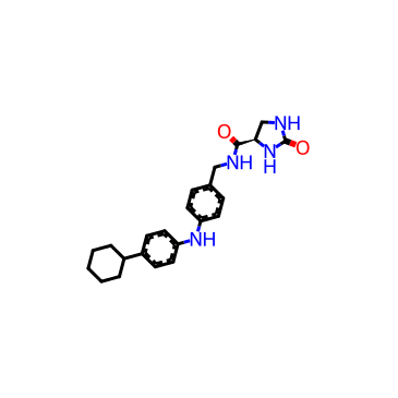 O=C1NC[C@H](C(=O)NCc2ccc(Nc3ccc(C4CCCCC4)cc3)cc2)N1